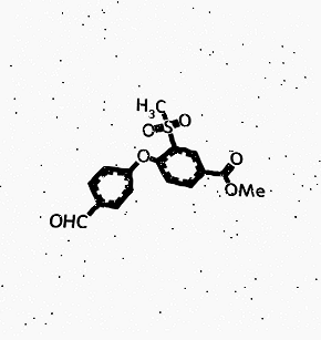 COC(=O)c1ccc(Oc2ccc(C=O)cc2)c(S(C)(=O)=O)c1